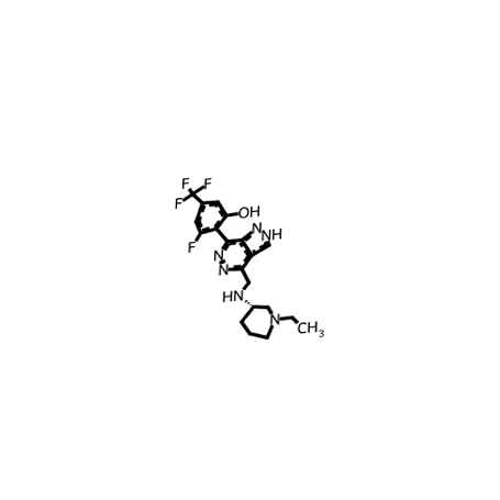 CCN1CCC[C@H](NCc2nnc(-c3c(O)cc(C(F)(F)F)cc3F)c3n[nH]cc23)C1